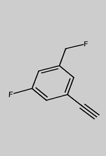 C#Cc1cc(F)cc(CF)c1